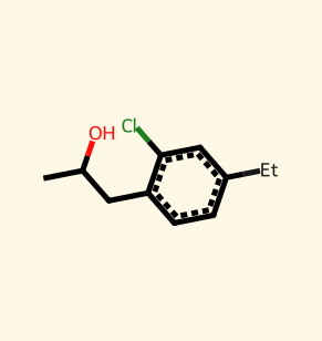 CCc1ccc(CC(C)O)c(Cl)c1